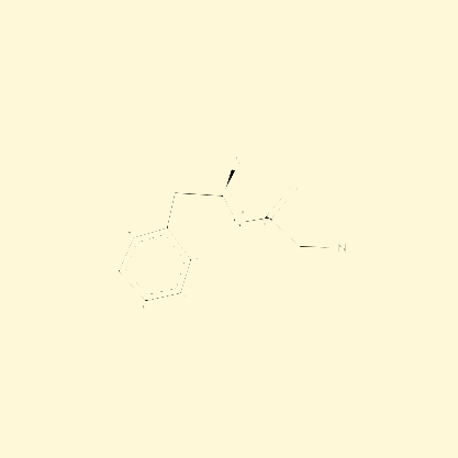 CC(=O)[C@H](Cc1ccccc1)NC(=O)CC#N